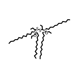 CCCCCCCCCCCC[Si](CCCCCCCCCCCC)(OCC)C(CC)SSC(CC)[Si](CCCCCCCCCCCC)(CCCCCCCCCCCC)OCC